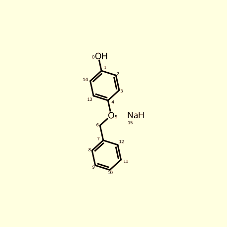 Oc1ccc(OCc2ccccc2)cc1.[NaH]